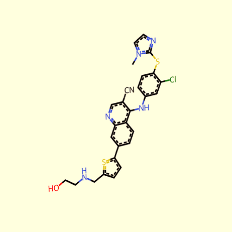 Cn1ccnc1Sc1ccc(Nc2c(C#N)cnc3cc(-c4ccc(CNCCO)s4)ccc23)cc1Cl